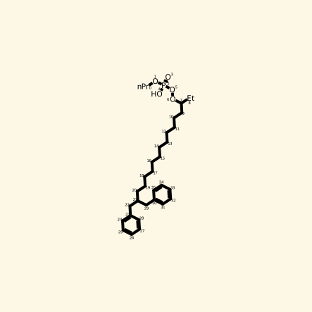 CCCOP(=O)(O)OOC(CC)CCCCCCCCCCCCC(Cc1ccccc1)Cc1ccccc1